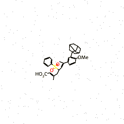 COc1ccc(C(C)=CC(CC(C)=CC(=O)O)S(=O)(=O)c2ccccc2)cc1C12CC3CC(CC(C3)C1)C2